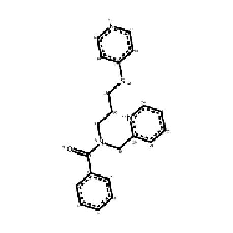 O=C(c1ccccc1)N(CCCSc1ccncc1)Cc1ccccn1